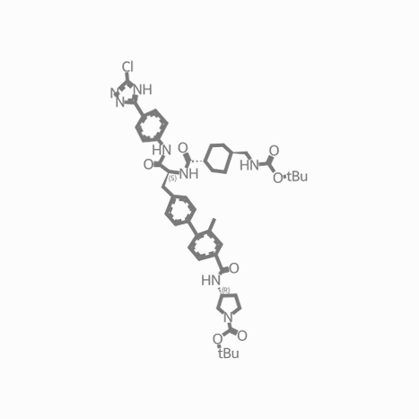 Cc1cc(C(=O)N[C@@H]2CCN(C(=O)OC(C)(C)C)C2)ccc1-c1ccc(C[C@H](NC(=O)[C@H]2CC[C@H](CNC(=O)OC(C)(C)C)CC2)C(=O)Nc2ccc(-c3nnc(Cl)[nH]3)cc2)cc1